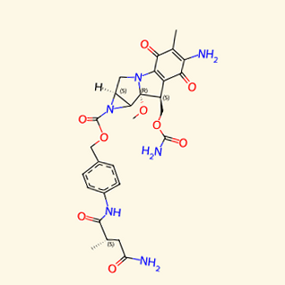 CO[C@]12C3[C@H](CN1C1=C(C(=O)C(N)=C(C)C1=O)[C@H]2COC(N)=O)N3C(=O)OCc1ccc(NC(=O)[C@@H](C)CC(N)=O)cc1